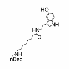 CCCCCCCCCCCNCCCCCCCC(=O)NCCc1c[nH]c2ccc(O)cc12